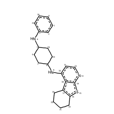 c1ccc(NC2CCC(Nc3ccnc4sc5c(c34)CCCC5)CC2)cc1